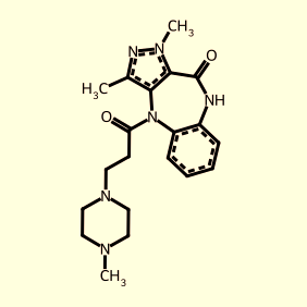 Cc1nn(C)c2c1N(C(=O)CCN1CCN(C)CC1)c1ccccc1NC2=O